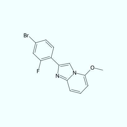 COc1cccc2nc(-c3ccc(Br)cc3F)cn12